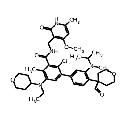 CCN(c1cc(-c2ccc(C3(C=O)CCOCC3)c(N(C)C(C)C)c2)c(Cl)c(C(=O)NCc2c(OC)cc(C)[nH]c2=O)c1C)C1CCOCC1